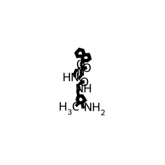 Cc1cc(CNCC(=O)[C@@H]2CN(C(=O)Oc3cccc4ccccc34)CCN2)ccc1CN